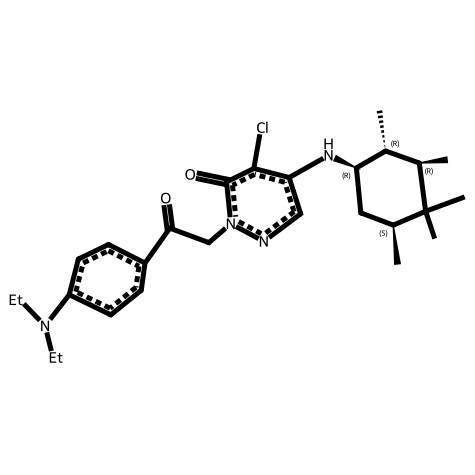 CCN(CC)c1ccc(C(=O)Cn2ncc(N[C@@H]3C[C@H](C)C(C)(C)[C@H](C)[C@H]3C)c(Cl)c2=O)cc1